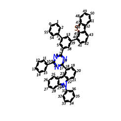 c1ccc(-c2cc(-c3nc(-c4ccccc4)nc(-c4cccc5c4c4ccccc4n5-c4ccccc4)n3)cc(-c3cccc4c3sc3ccccc34)c2)cc1